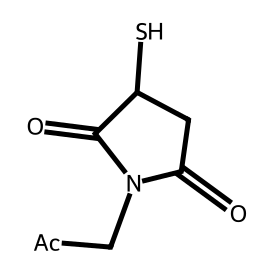 CC(=O)CN1C(=O)CC(S)C1=O